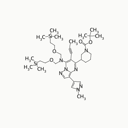 CC#Cc1c(C2CCCN(C(=O)OC(C)(C)C)C2)nc2c(-c3cnn(C)c3)cnn2c1N(COCC[Si](C)(C)C)COCC[Si](C)(C)C